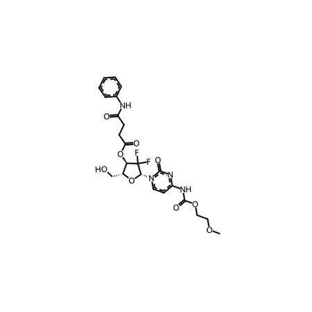 COCCOC(=O)Nc1ccn([C@@H]2O[C@H](CO)[C@@H](OC(=O)CCC(=O)Nc3ccccc3)C2(F)F)c(=O)n1